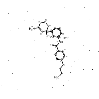 CCCCc1ccc(C(=O)Nc2cccc(C3(C)COCC(N)=N3)c2)nc1.Cl